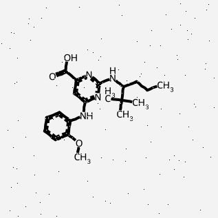 CCCC(Nc1nc(Nc2ccccc2OC)cc(C(=O)O)n1)C(C)(C)C